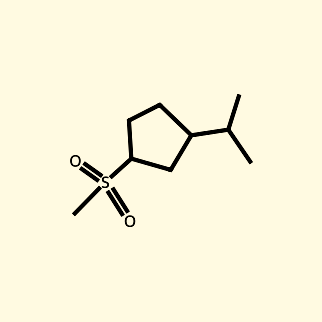 CC(C)C1CCC(S(C)(=O)=O)C1